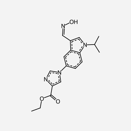 CCOC(=O)c1cn(-c2ccc3c(c2)c(/C=N\O)cn3C(C)C)cn1